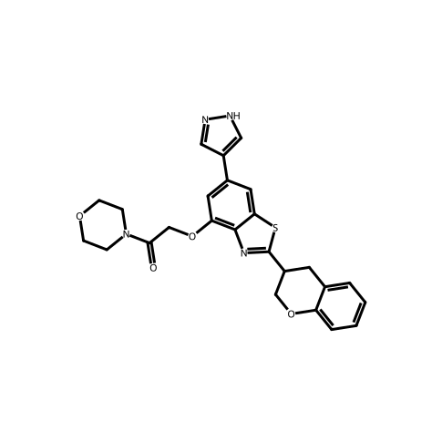 O=C(COc1cc(-c2cn[nH]c2)cc2sc(C3COc4ccccc4C3)nc12)N1CCOCC1